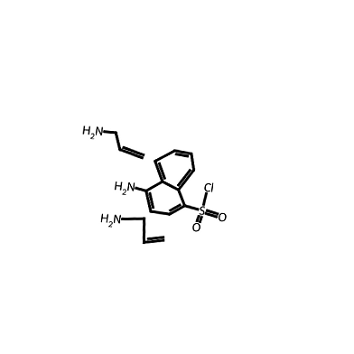 C=CCN.C=CCN.Nc1ccc(S(=O)(=O)Cl)c2ccccc12